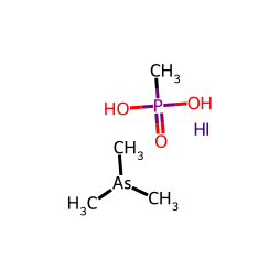 CP(=O)(O)O.C[As](C)C.I